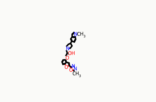 Cc1nnc(-c2cc3c(OC[C@@H](O)CN4CCC(c5ccc6c(ccn6C)c5)CC4)cccc3o2)o1